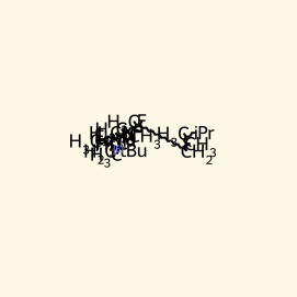 C=C(Nc1ccc(C(C)(F)F)cc1C(=C)/C=C(\C)C(C)(C)C)C1=C(C)C2(CCCC2)N(C)N(Cc2ccc(CCCCCCCCCCCCC(=C)C(C)CC(C)CCC(C)C)c(F)c2C)C1=C